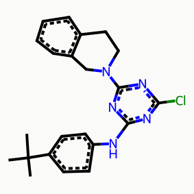 CC(C)(C)c1ccc(Nc2nc(Cl)nc(N3CCc4ccccc4C3)n2)cc1